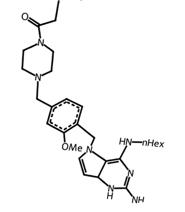 CCCCCCNC1=C2C(C=CN2Cc2ccc(CN3CCN(C(=O)CON)CC3)cc2OC)NC(N)=N1